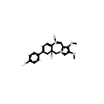 COc1cn2c(c1OC)C=[N+]([O-])C1=CC=C(c3ccc(F)cc3)C[C@H]1C2